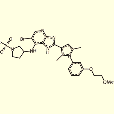 CCS(=O)(=O)N1CCC(Nc2c(Br)cnc3nc(-c4cc(C)n(-c5cccc(OCCOC)c5)c4C)[nH]c23)C1